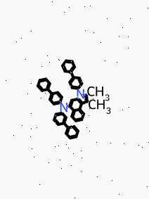 Cc1c(C)n(-c2ccc(-c3ccccc3)cc2)c2cc(N(c3ccc(-c4ccccc4)cc3)c3cccc(-c4ccccc4)c3)c3ccccc3c12